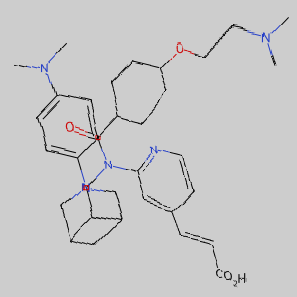 CN(C)CCOC1CCC(C(=O)N(CC2C3CC2CN(c2ccc(N(C)C)cc2)C3)c2cc(C=CC(=O)O)ccn2)CC1